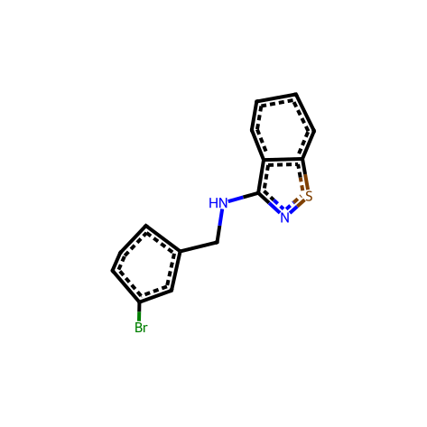 Brc1cccc(CNc2nsc3ccccc23)c1